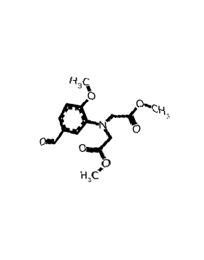 COC(=O)CN(CC(=O)OC)c1cc(C=O)ccc1OC